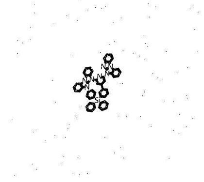 c1ccc([Si](c2ccccc2)(c2ccccc2)c2cccc(-c3cc(-n4c5ccccc5n5c6ccccc6nc45)nc(-n4c5ccccc5n5c6ccccc6nc45)c3)c2)cc1